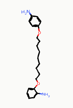 Nc1ccc(OCCCCCCCCCOc2ccccc2N)cc1